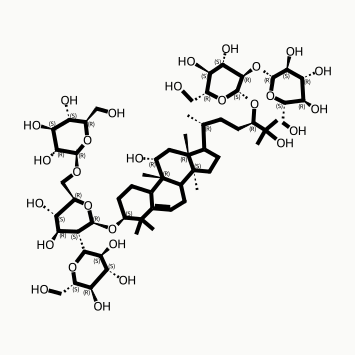 C[C@H](CC[C@@H](O[C@@H]1O[C@H](CO)[C@@H](O)[C@H](O)[C@H]1O[C@H]1O[C@@H](CO)[C@H](O)[C@@H](O)[C@@H]1O)C(C)(C)O)C1CC[C@@]2(C)C3CC=C4C(CC[C@H](O[C@@H]5O[C@H](CO[C@@H]6O[C@H](CO)[C@@H](O)[C@H](O)[C@H]6O)[C@@H](O)[C@H](O)[C@H]5C5O[C@@H](CO)[C@H](O)[C@@H](O)[C@@H]5O)C4(C)C)[C@]3(C)[C@H](O)C[C@]12C